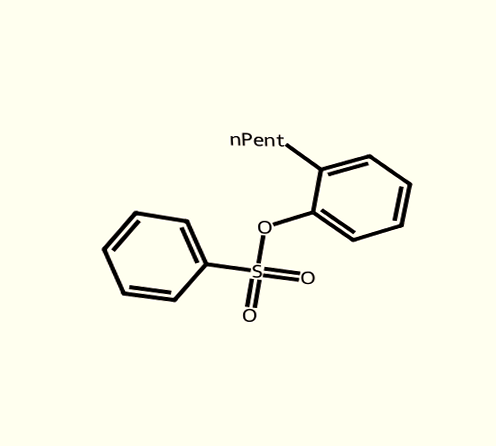 CCCCCc1ccccc1OS(=O)(=O)c1ccccc1